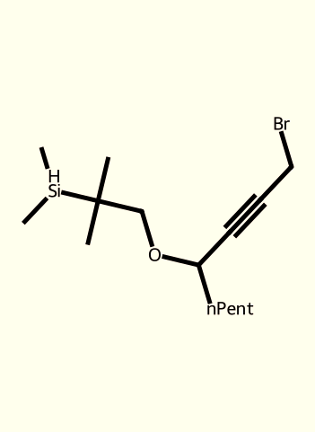 CCCCCC(C#CCBr)OCC(C)(C)[SiH](C)C